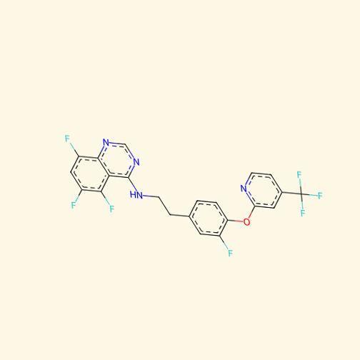 Fc1cc(CCNc2ncnc3c(F)cc(F)c(F)c23)ccc1Oc1cc(C(F)(F)F)ccn1